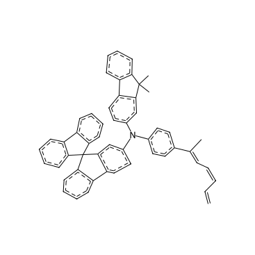 C=C/C=C\C=C(/C)c1ccc(N(c2ccc3c(c2)C(C)(C)c2ccccc2-3)c2ccc3c(c2)C2(c4ccccc4-c4ccccc42)c2ccccc2-3)cc1